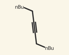 [CH2]CCCCC#CCCCC[CH2]